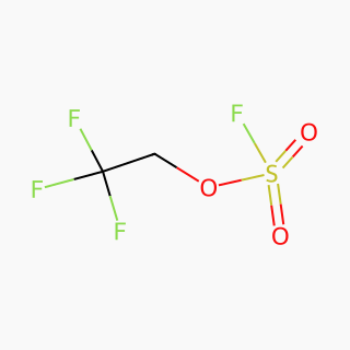 O=S(=O)(F)OCC(F)(F)F